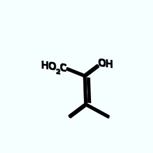 CC(C)=C(O)C(=O)O